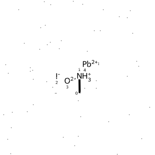 C[NH3+].[I-].[O-2].[Pb+2]